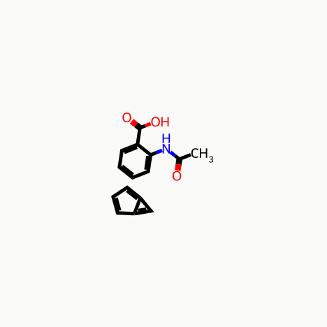 CC(=O)Nc1ccccc1C(=O)O.c1cc2cc-2c1